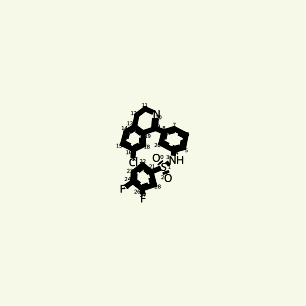 O=S(=O)(Nc1cccc(C2=NCCc3ccc(Cl)cc32)c1)c1ccc(F)c(F)c1